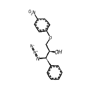 [N-]=[N+]=N[C@H](c1ccccc1)[C@H](O)COc1ccc([N+](=O)[O-])cc1